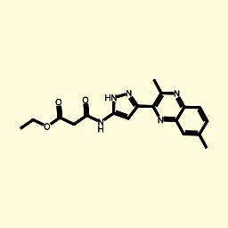 CCOC(=O)CC(=O)Nc1cc(-c2nc3cc(C)ccc3nc2C)n[nH]1